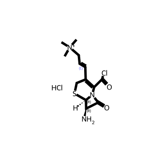 C[N+](C)(C)C/C=C/C1=C(C(=O)Cl)N2C(=O)[C@@H](N)[C@H]2SC1.Cl